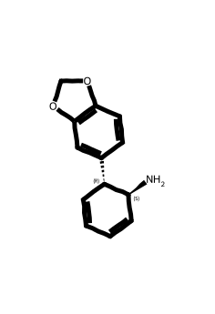 N[C@H]1C=CC=C[C@@H]1c1ccc2c(c1)OCO2